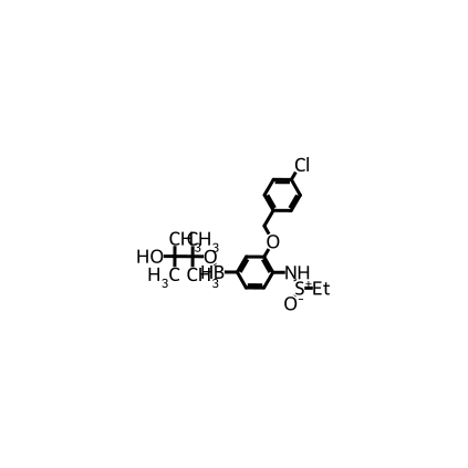 CC[S+]([O-])Nc1ccc(BOC(C)(C)C(C)(C)O)cc1OCc1ccc(Cl)cc1